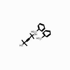 CC(C)(O)C#CC(C)(C)O.O=C(O)c1ccccc1.O=C(O)c1ccccc1